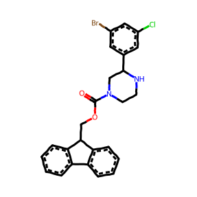 O=C(OCC1c2ccccc2-c2ccccc21)N1CCNC(c2cc(Cl)cc(Br)c2)C1